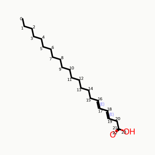 CCCCCCCCCCCCCCCC/C=C/C=C/CC(=O)O